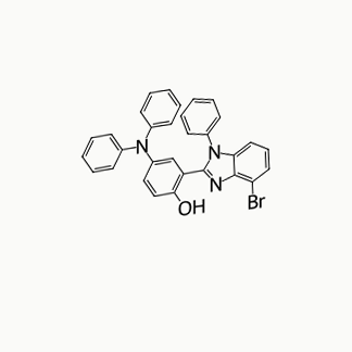 Oc1ccc(N(c2ccccc2)c2ccccc2)cc1-c1nc2c(Br)cccc2n1-c1ccccc1